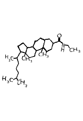 CCNC(=O)C1CCC2(C)C(CCC3C2CCC2(C)C(C(C)CCCC(C)C)CCC32)C1